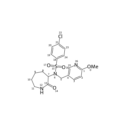 COc1ccc(CN(C2CCCCNC2=O)S(=O)(=O)c2ccc(Cl)cc2)cn1